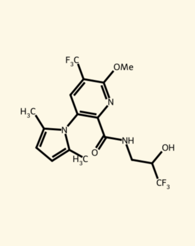 COc1nc(C(=O)NCC(O)C(F)(F)F)c(-n2c(C)ccc2C)cc1C(F)(F)F